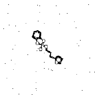 O=P1(OCCCc2ccco2)Oc2ccccc2O1